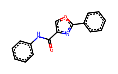 O=C(Nc1ccccc1)c1coc(-c2ccccc2)n1